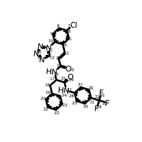 O=C(C=Cc1cc(Cl)ccc1-n1cnnn1)NC(Cc1ccccc1)C(=O)Nc1ccc(C(F)(F)F)cc1